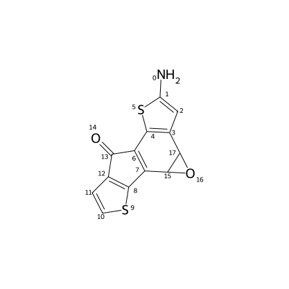 Nc1cc2c(s1)C1=C(c3sccc3C1=O)C1OC21